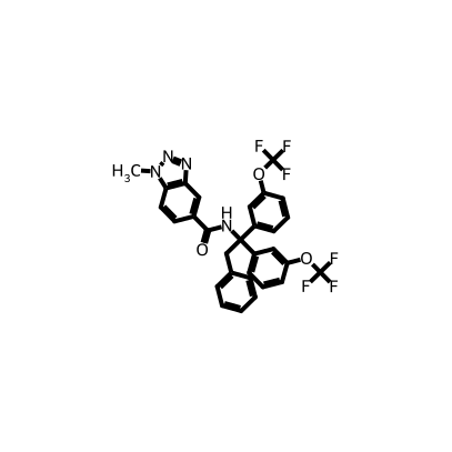 Cn1nnc2cc(C(=O)NC(Cc3ccccc3)(c3cccc(OC(F)(F)F)c3)c3cccc(OC(F)(F)F)c3)ccc21